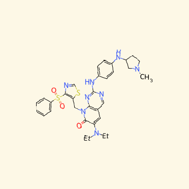 CCN(CC)c1cc2cnc(Nc3ccc(NC4CCN(C)C4)cc3)nc2n(Cc2scnc2S(=O)(=O)c2ccccc2)c1=O